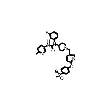 Cc1ccc(NC(=O)N(c2cccc(F)c2)C2CCN(Cc3ccc(Oc4ccc(S(C)(=O)=O)cc4)nc3)CC2)cn1